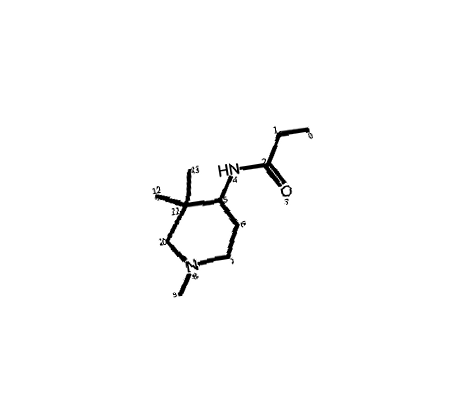 CCC(=O)NC1CCN(C)CC1(C)C